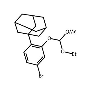 CCOC(OC)Oc1cc(Br)ccc1C12CC3CC(CC(C3)C1)C2